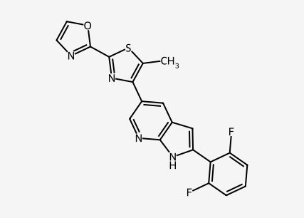 Cc1sc(-c2ncco2)nc1-c1cnc2[nH]c(-c3c(F)cccc3F)cc2c1